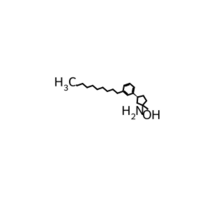 CCCCCCCCCCc1cccc([C@H]2CCC(N)(CO)C2)c1